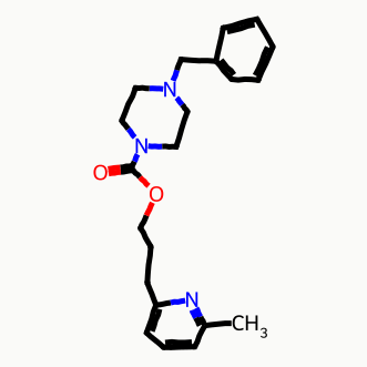 Cc1cccc(CCCOC(=O)N2CCN(Cc3ccccc3)CC2)n1